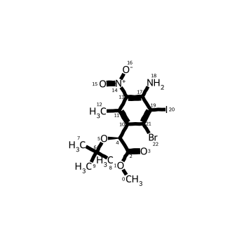 COC(=O)[C@@H](OC(C)(C)C)c1c(C)c([N+](=O)[O-])c(N)c(I)c1Br